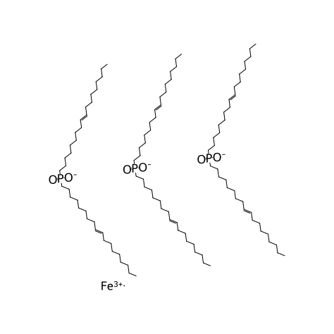 CCCCCCCCC=CCCCCCCCCP(=O)([O-])CCCCCCCCC=CCCCCCCCC.CCCCCCCCC=CCCCCCCCCP(=O)([O-])CCCCCCCCC=CCCCCCCCC.CCCCCCCCC=CCCCCCCCCP(=O)([O-])CCCCCCCCC=CCCCCCCCC.[Fe+3]